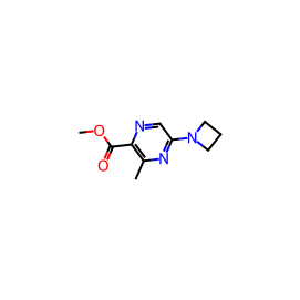 COC(=O)c1ncc(N2CCC2)nc1C